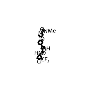 CNC(=O)c1cc(Oc2cccc(-c3c[nH]c(C(=O)Nc4ccc(Cl)c(C(F)(F)F)c4)c3)c2)ccn1